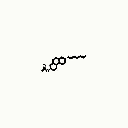 CCCCCCC[C@@H]1CCC2C(CCC3C[C@H](OC(C)=O)CCC32)C1